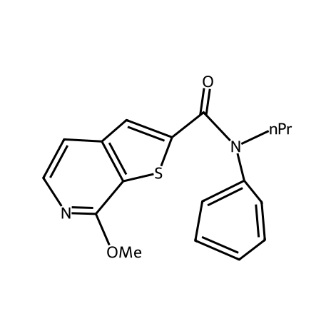 CCCN(C(=O)c1cc2ccnc(OC)c2s1)c1ccccc1